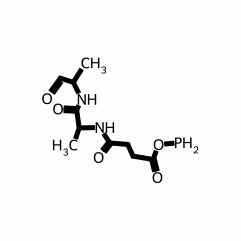 CC(C=O)NC(=O)C(C)NC(=O)CCC(=O)OP